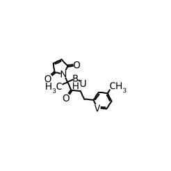 CC1=C[CH]=[V][C](CCC(=O)C(C)([BH][U])N2C(=O)C=CC2=O)=C1